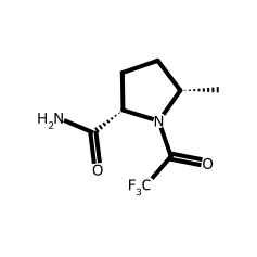 C[C@H]1CC[C@@H](C(N)=O)N1C(=O)C(F)(F)F